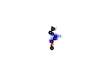 Cc1cc(F)cc(-c2cccc3[nH]c(-c4n[nH]c5ncc(-c6cncc(OCc7ccccc7)c6)cc45)cc23)c1